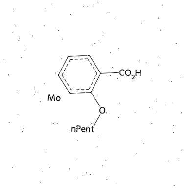 CCCCCOc1ccccc1C(=O)O.[Mo]